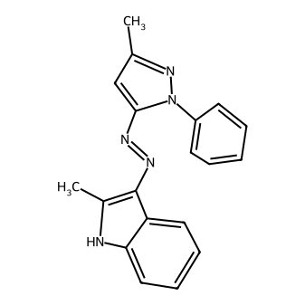 Cc1cc(/N=N/c2c(C)[nH]c3ccccc23)n(-c2ccccc2)n1